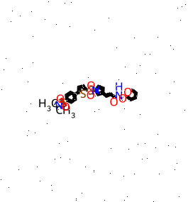 CN(C)S(=O)(=O)c1ccc(-c2ccc(S(=O)(=O)n3ccc(/C=C/C(=O)NOC4CCCCO4)c3)s2)cc1